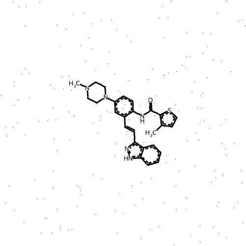 Cc1ccsc1C(=O)Nc1ccc(N2CCN(C)CC2)cc1C=Cc1n[nH]c2ccccc12